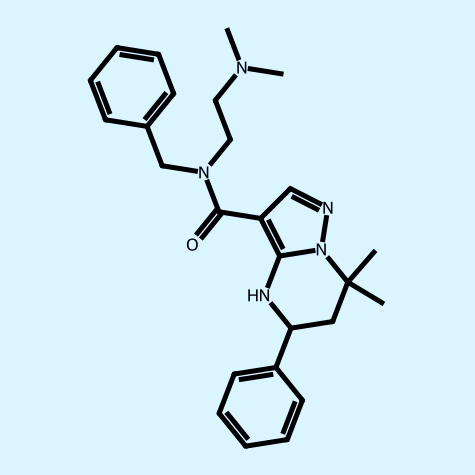 CN(C)CCN(Cc1ccccc1)C(=O)c1cnn2c1NC(c1ccccc1)CC2(C)C